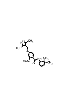 COc1cc(OCc2c(C)noc2C)ccc1C(=O)Nc1cccc(C)c1C